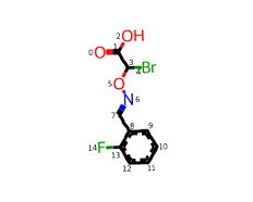 O=C(O)C(Br)ON=Cc1ccccc1F